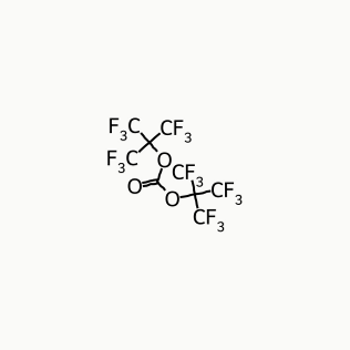 O=C(OC(C(F)(F)F)(C(F)(F)F)C(F)(F)F)OC(C(F)(F)F)(C(F)(F)F)C(F)(F)F